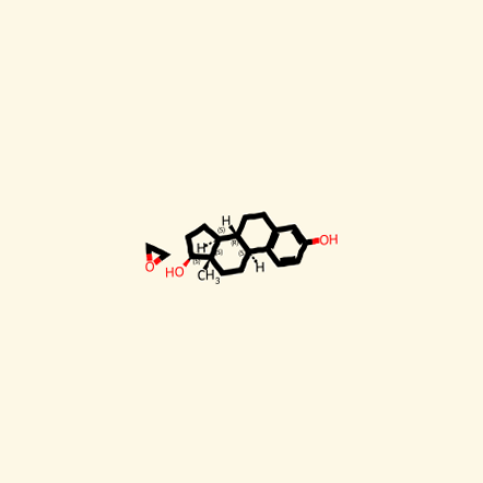 C1CO1.C[C@]12CC[C@@H]3c4ccc(O)cc4CC[C@H]3[C@@H]1CC[C@@H]2O